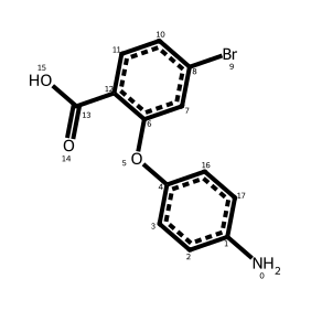 Nc1ccc(Oc2cc(Br)ccc2C(=O)O)cc1